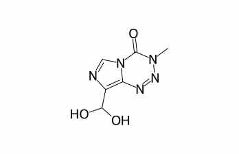 Cn1nnc2c(C(O)O)ncn2c1=O